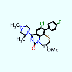 CO[C@@H]1CSc2c(-c3ccc(F)cc3)c(Cl)cc3c(N4CCN(C)C[C@@H]4C)nc(=O)n(c23)C1